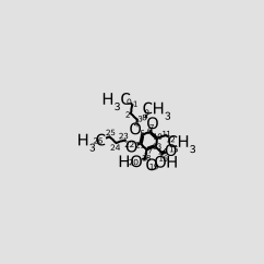 CCCCOc1c(OCC)c(CC)c(C(=O)O)c(C(=O)O)c1OCCCC